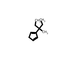 CCC(C)(CC)C1=C[CH]C=C1